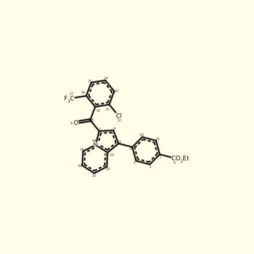 CCOC(=O)c1ccc(-c2cc(C(=O)c3c(Cl)cccc3C(F)(F)F)n3ccccc23)cc1